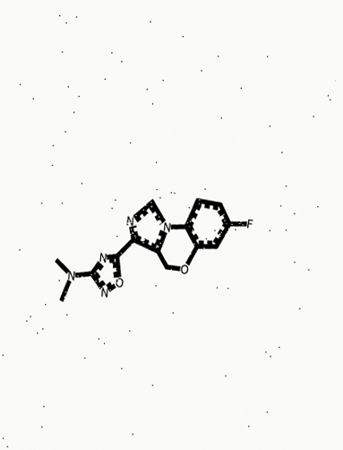 CN(C)c1noc(-c2ncn3c2COc2cc(F)ccc2-3)n1